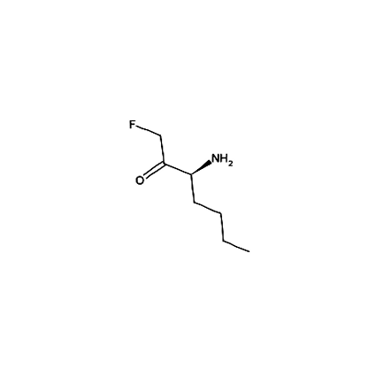 CCCC[C@H](N)C(=O)CF